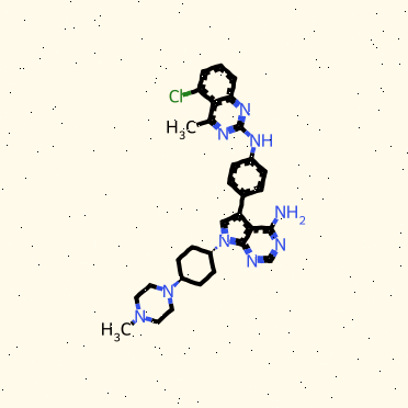 Cc1nc(Nc2ccc(-c3cn([C@H]4CC[C@H](N5CCN(C)CC5)CC4)c4ncnc(N)c34)cc2)nc2cccc(Cl)c12